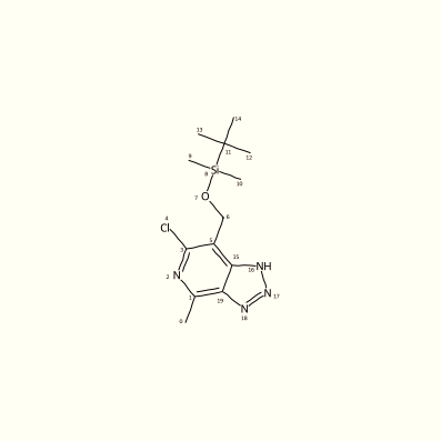 Cc1nc(Cl)c(CO[Si](C)(C)C(C)(C)C)c2[nH]nnc12